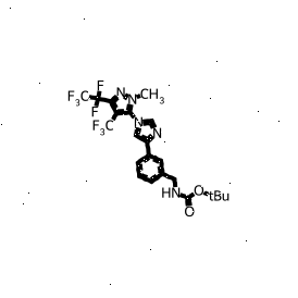 Cn1nc(C(F)(F)C(F)(F)F)c(C(F)(F)F)c1-n1cnc(-c2cccc(CNC(=O)OC(C)(C)C)c2)c1